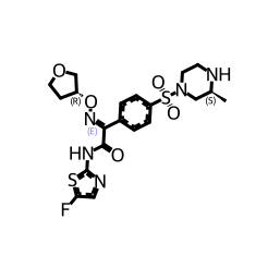 C[C@H]1CN(S(=O)(=O)c2ccc(/C(=N\O[C@@H]3CCOC3)C(=O)Nc3ncc(F)s3)cc2)CCN1